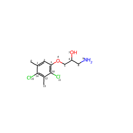 Cc1cc(OCC(O)CN)c(Cl)c(C)c1Cl